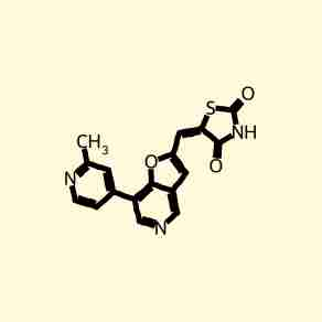 Cc1cc(-c2cncc3cc(C=C4SC(=O)NC4=O)oc23)ccn1